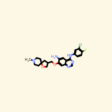 CN1CCC2(CC1)CC(COc1cc3ncnc(Nc4ccc(F)c(Cl)c4)c3cc1N)CO2